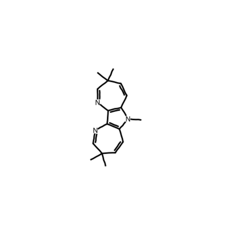 Cn1c2c(c3c1C=CC(C)(C)C=N3)N=CC(C)(C)C=C2